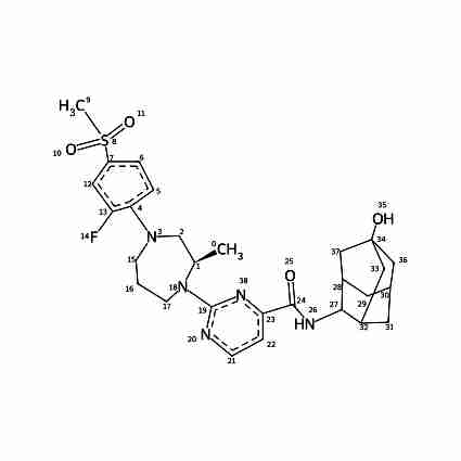 C[C@@H]1CN(c2ccc(S(C)(=O)=O)cc2F)CCCN1c1nccc(C(=O)NC2C3CC4CC2CC(O)(C4)C3)n1